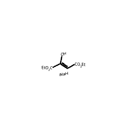 CCOC(=O)/C=C(\O)C(=O)OCC.[NaH]